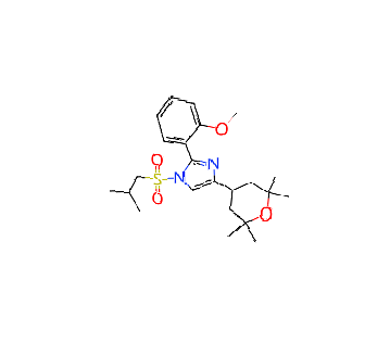 COc1ccccc1-c1nc(C2CC(C)(C)OC(C)(C)C2)cn1S(=O)(=O)CC(C)C